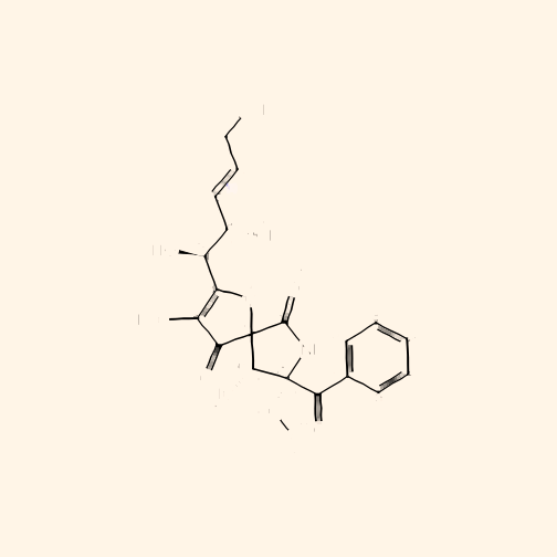 CC/C=C/[C@H](O)[C@H](O)C1=C(C)C(=O)C2(O1)C(=O)N[C@@](OC)(C(=O)c1ccccc1)[C@@H]2O